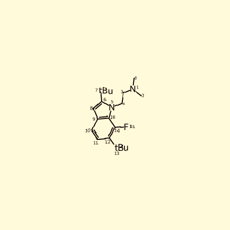 CN(C)CCn1c(C(C)(C)C)cc2ccc(C(C)(C)C)c(F)c21